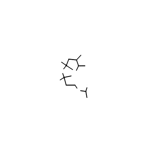 CC(N)OCCC(C)(C)OC(C)(C)CC(C)C(C)C